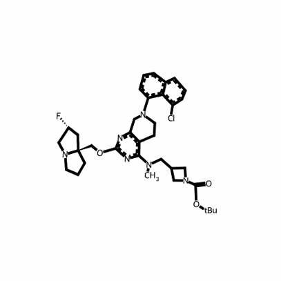 CN(CC1CN(C(=O)OC(C)(C)C)C1)c1nc(OC[C@@]23CCCN2C[C@H](F)C3)nc2c1CCN(c1cccc3cccc(Cl)c13)C2